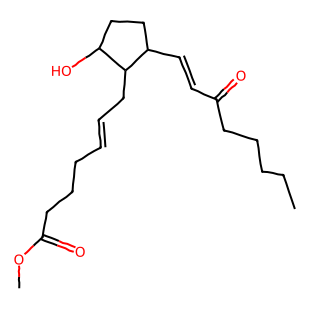 CCCCCC(=O)/C=C/C1CCC(O)C1C/C=C/CCCC(=O)OC